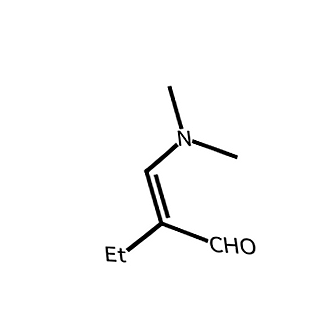 CCC(C=O)=CN(C)C